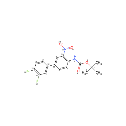 CC(C)(C)OC(=O)Nc1ccc(-c2ccc(F)c(F)c2)cc1[N+](=O)[O-]